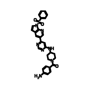 Nc1ccc(C(=O)N2CCC(Nc3cc(-c4cnc5c(ccn5S(=O)(=O)c5ccccc5)c4)ncn3)CC2)cc1